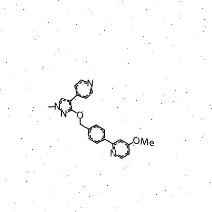 COc1ccnc(-c2ccc(COc3nn(C)cc3-c3ccncc3)cc2)c1